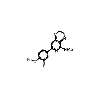 CNc1nc(-c2ccc(OC(C)C)c(F)c2)cc2c1=NCCN=2